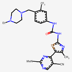 CCN1CCN(Cc2ccc(NC(=O)Nc3nc(C)c(-c4nc(NC)ncc4C#N)s3)cc2C(F)(F)F)CC1